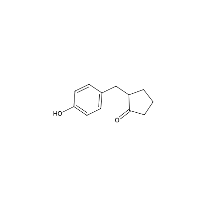 O=C1CCCC1Cc1ccc(O)cc1